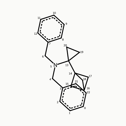 c1ccc(CN(Cc2ccccc2)C2(C34CC(C3)C4)CC2)cc1